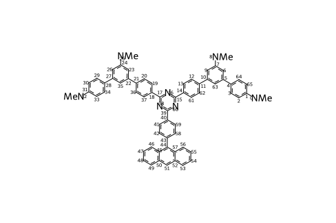 CNc1ccc(-c2cc(NC)cc(-c3ccc(-c4nc(-c5ccc(-c6cc(NC)cc(-c7ccc(NC)cc7)c6)cc5)nc(-c5ccc(-c6c7ccccc7cc7ccccc67)cc5)n4)cc3)c2)cc1